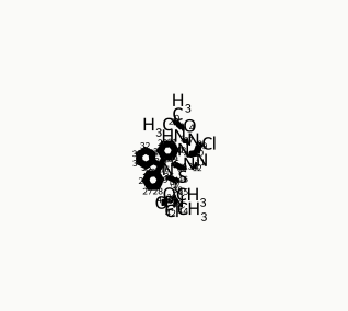 CC(C)C(=O)Nc1nc(Cl)c2ncn([C@H]3CN(C(c4ccccc4)(c4ccccc4)c4ccccc4)C[C@@H](COP(=O)(Cl)N(C)C)S3)c2n1